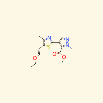 CCOC=Cc1sc(-c2cnn(C)c2C(=O)OC)nc1C